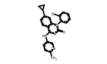 Cc1ccc(Nc2nc(=O)n(-c3ccccc3Cl)c3cc(C4CC4)ccc23)cn1